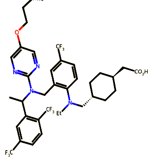 CCN(C[C@H]1CC[C@H](CC(=O)O)CC1)c1ccc(C(F)(F)F)cc1CN(c1ncc(OCCSC)cn1)C(C)c1cc(C(F)(F)F)ccc1C(F)(F)F